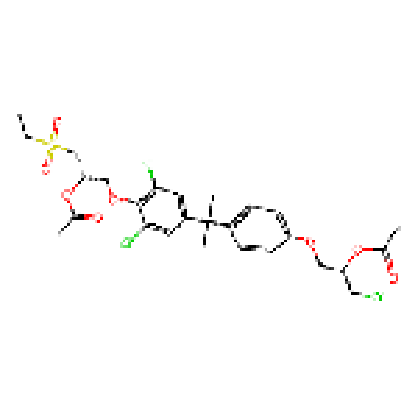 CCS(=O)(=O)C[C@H](COc1c(Cl)cc(C(C)(C)c2ccc(OC[C@H](CCl)OC(C)=O)cc2)cc1Cl)OC(C)=O